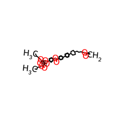 C=CC(=O)OCCCCC1CCC(c2ccc(-c3ccc(C(=O)Oc4ccc(C5O[C@@H](C(=O)OCCCC)[C@H](C(=O)OCCCC)O5)cc4)cc3)cc2)CC1